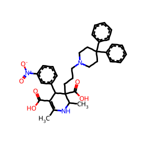 CC1=C(C(=O)O)C(c2cccc([N+](=O)[O-])c2)C(CCCN2CCC(c3ccccc3)(c3ccccc3)CC2)(C(=O)O)C(C)N1